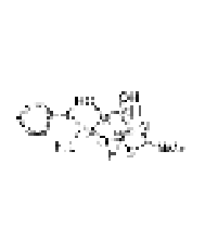 CNC1=N[C@@H]2[C@@H](O)[C@H](O)[C@@H](C(Oc3ccccc3)C(F)(F)F)O[C@@H]2S1